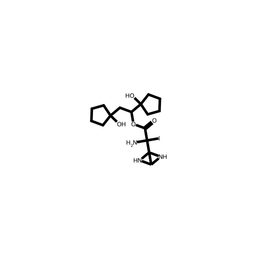 NC(I)(C(=O)OC(CC1(O)CCCC1)C1(O)CCCC1)C12NC1N2